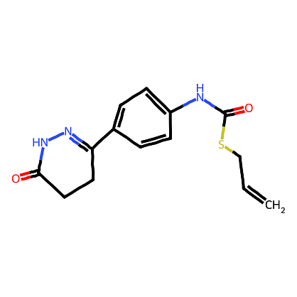 C=CCSC(=O)Nc1ccc(C2=NNC(=O)CC2)cc1